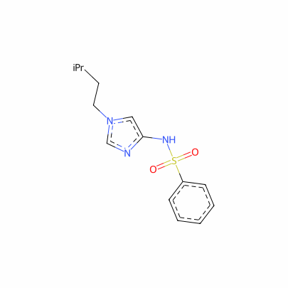 CC(C)CCn1cnc(NS(=O)(=O)c2ccccc2)c1